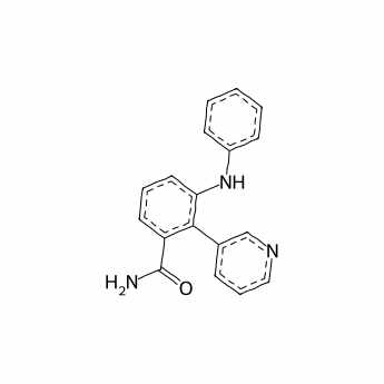 NC(=O)c1cccc(Nc2ccccc2)c1-c1cccnc1